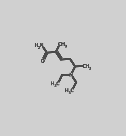 CCN(CC)C(C)C/C=C(\C)C(N)=O